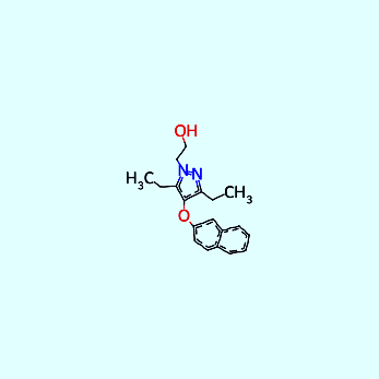 CCc1nn(CCO)c(CC)c1Oc1ccc2ccccc2c1